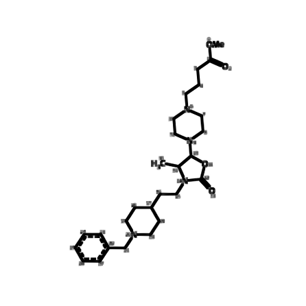 COC(=O)CCCN1CCN(C2OC(=O)N(CCC3CCN(Cc4ccccc4)CC3)C2C)CC1